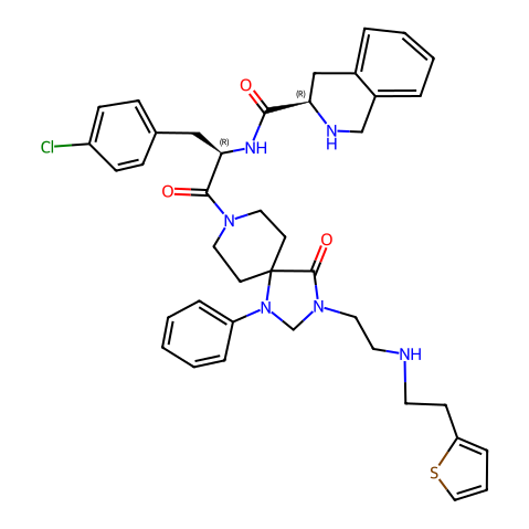 O=C(N[C@H](Cc1ccc(Cl)cc1)C(=O)N1CCC2(CC1)C(=O)N(CCNCCc1cccs1)CN2c1ccccc1)[C@H]1Cc2ccccc2CN1